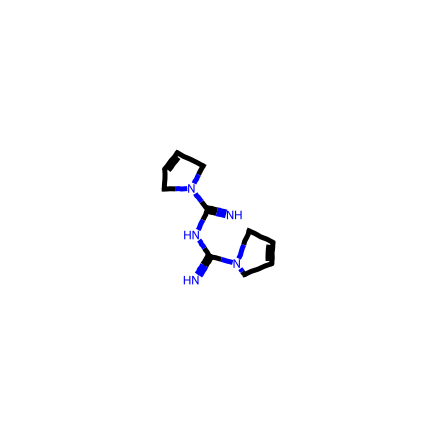 N=C(NC(=N)N1CC=CC1)N1CC=CC1